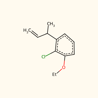 C=C[C](C)c1cccc(OCC)c1Cl